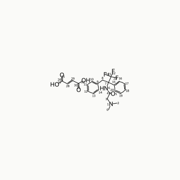 CN(C)CC(=O)NC(Cc1ccccc1)(c1ccccc1)C(F)(F)F.O=C(O)C=CC(=O)O